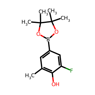 Cc1cc(B2OC(C)(C)C(C)(C)O2)cc(F)c1O